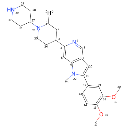 [2H]C1CC(c2cc3c(cn2)cc(-c2ccc(OC)c(OC)c2)n3C)CCN1C1CCNCC1